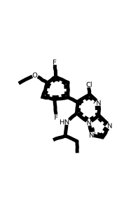 CCC(C)Nc1c(-c2cc(F)c(OC)cc2F)c(Cl)nc2ncnn12